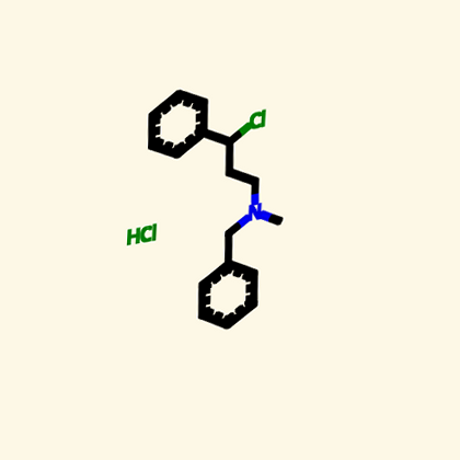 CN(CCC(Cl)c1ccccc1)Cc1ccccc1.Cl